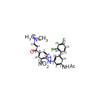 CC(=O)Nc1cc(Nc2ccc(C(=O)/C=C/N(C)C)cc2[N+](=O)[O-])cc(-c2ccc(F)cc2F)c1